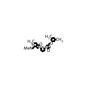 CNCc1nc(C)cc2c1CN(c1cccc(N3CC(COc4cc(C)cc(C)c4)OC3=O)n1)C2=O